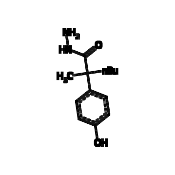 CCCCC(C)(C(=O)NN)c1ccc(O)cc1